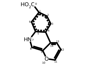 O=C(O)c1ccc2c(c1)NC=C1OC=CC=C12